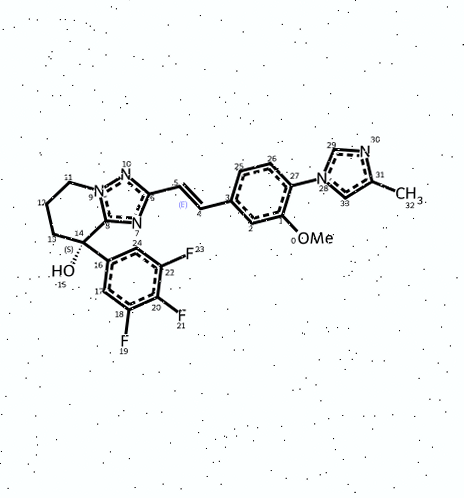 COc1cc(/C=C/c2nc3n(n2)CCC[C@]3(O)c2cc(F)c(F)c(F)c2)ccc1-n1cnc(C)c1